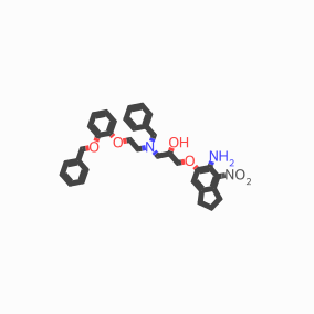 Nc1c(OCC(O)CN(CCOc2ccccc2OCc2ccccc2)Cc2ccccc2)cc2c(c1[N+](=O)[O-])CCC2